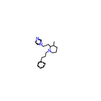 CC1CCCN(CCCc2ccccc2)C1CCn1ccnc1